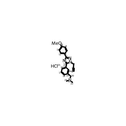 C#CCn1nc(-c2ccc(OC)cc2)nc1-c1cccc(CN(C)C)c1.Cl